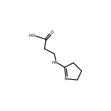 O=C(O)CCNC1=NCCC1